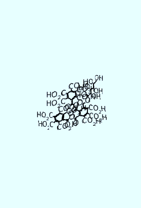 O=C(O)c1c(C(=O)O)c(C(=O)O)c(C(=O)OC(=O)c2c(C(=O)O)c(C(=O)O)c(C(=O)O)c(C(=O)OC(O)[C@H](O)[C@@H](O)[C@H](O)[C@H](O)CO)c2C(=O)OC(=O)c2c(C(=O)O)c(C(=O)O)c(C(=O)O)c(C(=O)O)c2C(=O)O)c(C(=O)O)c1C(=O)O